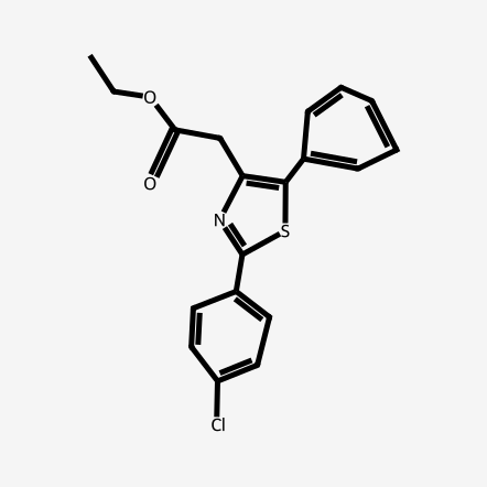 CCOC(=O)Cc1nc(-c2ccc(Cl)cc2)sc1-c1ccccc1